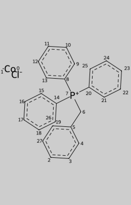 [Cl-].[Co].c1ccc(C[P+](c2ccccc2)(c2ccccc2)c2ccccc2)cc1